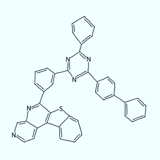 c1ccc(-c2ccc(-c3nc(-c4ccccc4)nc(-c4cccc(-c5nc6cnccc6c6c5sc5ccccc56)c4)n3)cc2)cc1